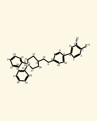 Fc1ccc(-c2ccc(CCC3CC[Si](c4ccccc4)(c4ccccc4)CC3)cc2)cc1F